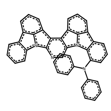 c1ccc(N(c2ccccc2)c2cccc3c4cccc5c6c7c8cccc9c%10ccccc%10n(c7ncc6n(c23)c45)c98)cc1